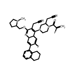 C=C(F)C(=O)N1CCN(C2=C(CC#N)C(OCC3CCCN3C)=NC3C=C(c4cccc5c4CCCC5)C(F)=CC23)CC1CC#N